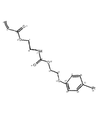 C=CC(=O)OCCNC(=O)OCCOc1ccc(C(C)C)cc1